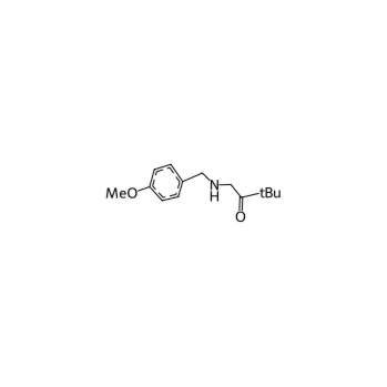 COc1ccc(CNCC(=O)C(C)(C)C)cc1